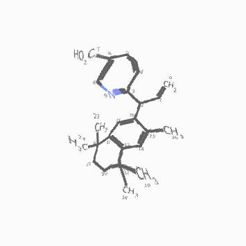 C=CC(c1ccc(C(=O)O)cn1)c1cc2c(cc1C)C(C)(C)CCC2(C)C